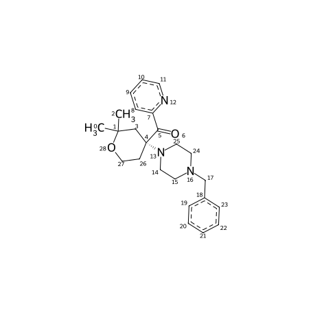 CC1(C)C[C@](C(=O)c2ccccn2)(N2CCN(Cc3ccccc3)CC2)CCO1